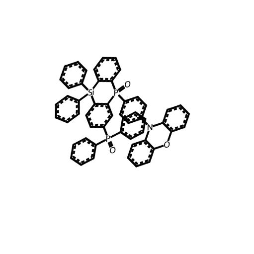 O=P(c1ccccc1)(c1ccccc1)c1ccc2c(c1)P(=O)(c1ccc(N3c4ccccc4Oc4ccccc43)cc1)c1ccccc1[Si]2(c1ccccc1)c1ccccc1